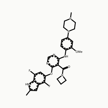 COc1cc(N2CCN(C)CC2)ccc1Nc1ncnc(Oc2cc(F)c3[nH]c(C)cc3c2F)c1C(=O)N1CCC1